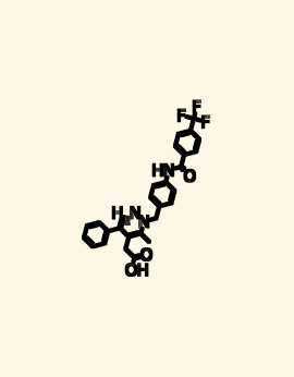 C=C(/C(CC(=O)O)=C(/C)N(N)Cc1ccc(NC(=O)c2ccc(C(F)(F)F)cc2)cc1)c1ccccc1